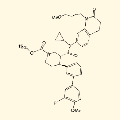 COCCCN1C(=O)CCc2ccc(N(C(=O)[C@H]3CN(C(=O)OC(C)(C)C)CC[C@@H]3c3cccc(-c4ccc(OC)c(F)c4)c3)C3CC3)cc21